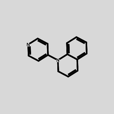 C1=Cc2ccccc2N(c2ccncc2)C1